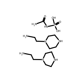 NC(=O)NP(=O)(O)O.NCCN1CCNCC1.NCCN1CCNCC1